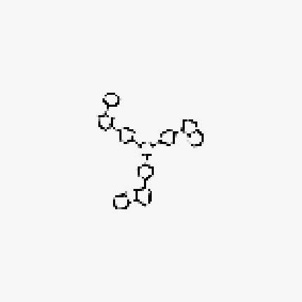 c1cnc2c(-c3ccc(-c4nc(-c5ccc(-c6cccc7c6oc6ccccc67)cc5)nc(-c5ccc(-c6cccc7c6oc6ccccc67)cc5)n4)cc3)cccc2c1